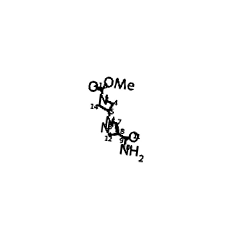 COC(=O)N1CC(n2cc(C(N)=O)cn2)C1